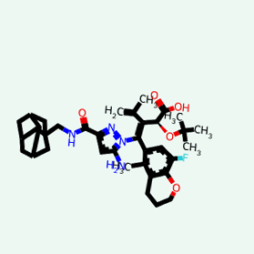 C=C(C)/C(=C(/c1cc(F)c2c(c1C)CCCO2)n1nc(C(=O)NCC23CC4CC(CC(C4)C2)C3)cc1N)[C@H](OC(C)(C)C)C(=O)O